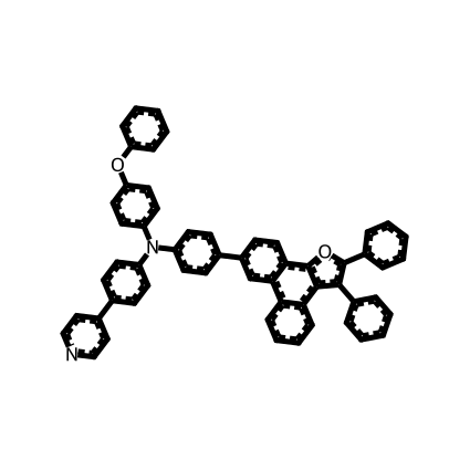 c1ccc(Oc2ccc(N(c3ccc(-c4ccncc4)cc3)c3ccc(-c4ccc5c(c4)c4ccccc4c4c(-c6ccccc6)c(-c6ccccc6)oc54)cc3)cc2)cc1